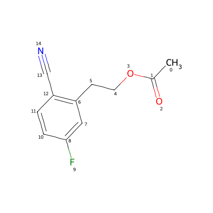 CC(=O)OCCc1cc(F)ccc1C#N